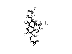 CN1CCN(c2c(I)cc3c(=O)c(C(=O)OB(F)F)cn4c3c2OC[C@@H]4N)CC1